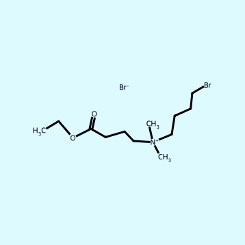 CCOC(=O)CCC[N+](C)(C)CCCCBr.[Br-]